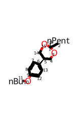 CCCCC[C@]1(C)OC[C@@H](c2ccc(OCCCC)cc2)CO1